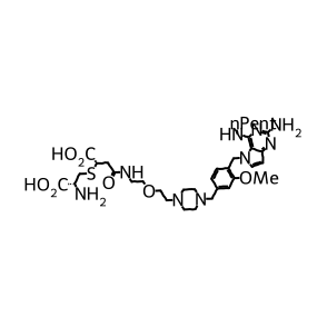 CCCCCNc1nc(N)nc2ccn(Cc3ccc(CN4CCN(CCOCCNC(=O)C[C@@H](SC[C@H](N)C(=O)O)C(=O)O)CC4)cc3OC)c12